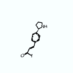 O=C(I)/C=C/c1ccc([C@H]2CCCN2)cc1